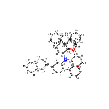 c1ccc(-c2ccc(-c3ccc4ccccc4c3)cc2N(c2ccccc2-c2ccc3oc4ccccc4c3c2)c2cccc3c2oc2ccccc23)cc1